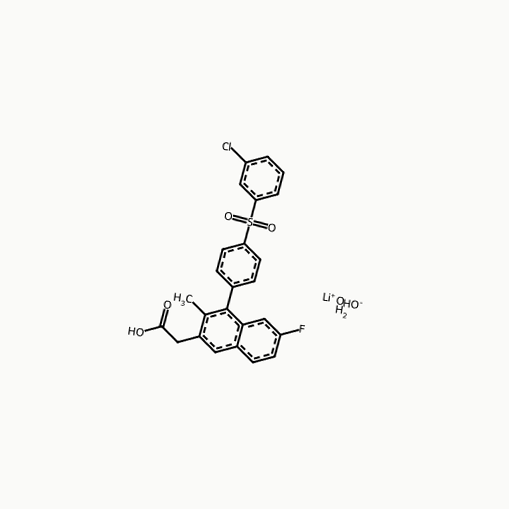 Cc1c(CC(=O)O)cc2ccc(F)cc2c1-c1ccc(S(=O)(=O)c2cccc(Cl)c2)cc1.O.[Li+].[OH-]